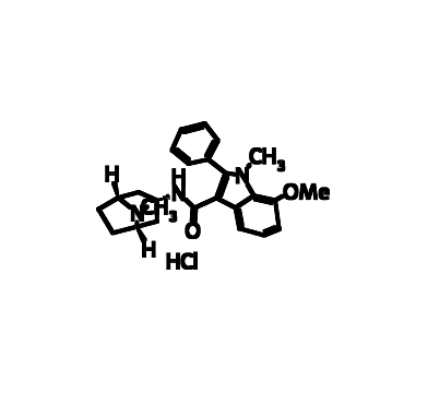 COc1cccc2c(C(=O)N[C@H]3C[C@H]4CC[C@@H](C3)N4C)c(-c3ccccc3)n(C)c12.Cl